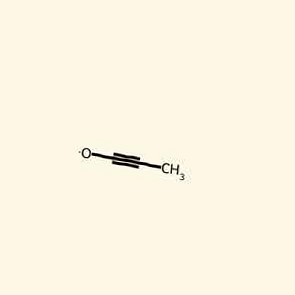 CC#C[O]